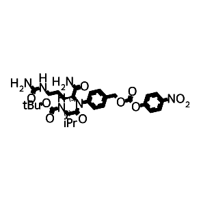 CC(C)[C@H](NC(=O)OC(C)(C)C)C(=O)N(c1ccc(COC(=O)Oc2ccc([N+](=O)[O-])cc2)cc1)[C@@H](CCCNC(N)=O)C(N)=O